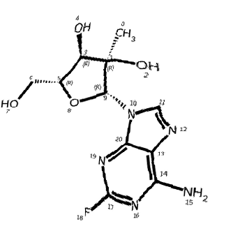 C[C@@]1(O)[C@H](O)[C@@H](CO)O[C@H]1n1cnc2c(N)nc(F)nc21